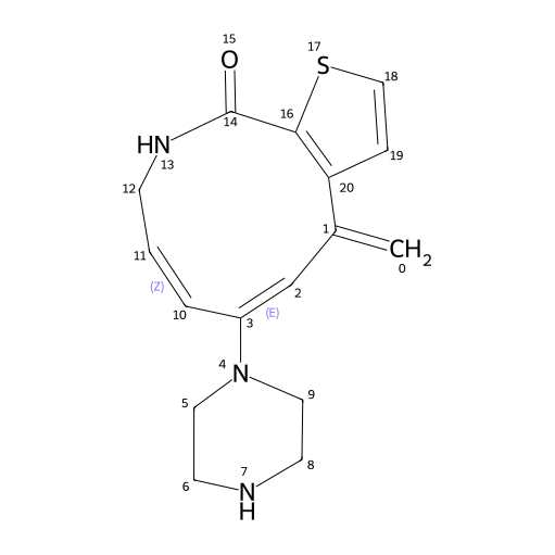 C=C1/C=C(N2CCNCC2)\C=C/CNC(=O)c2sccc21